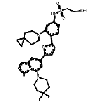 O=S(=O)(CCO)Nc1ccc(-c2ncc(-c3cc(N4CCC(F)(F)CC4)n4nccc4c3)[nH]2)c(N2CCC3(CC2)CC3)c1